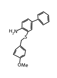 COc1ccc(CSc2cc(-c3ccccc3)ccc2N)cc1